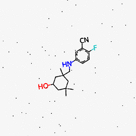 CC1(C)CC(O)CC(C)(CNc2ccc(F)c(C#N)c2)C1